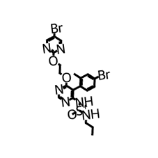 CCCN[S+]([O-])Nc1ncnc(OCCOc2ncc(Br)cn2)c1-c1ccc(Br)cc1C